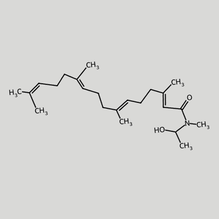 CC(C)=CCCC(C)=CCCC(C)=CCCC(C)=CC(=O)N(C)C(C)O